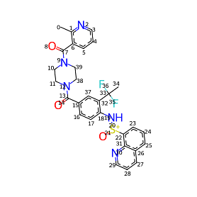 Cc1ncccc1C(=O)N1CCN(C(=O)c2ccc(N[S+]([O-])c3cccc4cccnc34)c(C(C)(F)F)c2)CC1